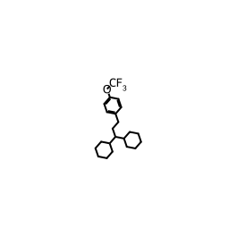 FC(F)(F)Oc1ccc(CCC(C2CCCCC2)C2CCCCC2)cc1